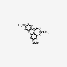 COc1ccc2c(c1)CN(C)CC=C2c1ccc(C)cc1